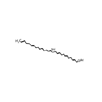 CC=CCCC=CCCC=CCCC=CCCC=CCCC=CCCC=CCOC(C)=O.[Sn]